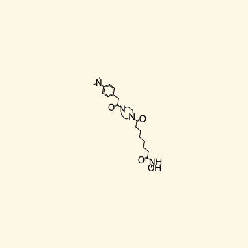 CN(C)c1ccc(CC(=O)N2CCN(C(=O)CCCCCCC(=O)NO)CC2)cc1